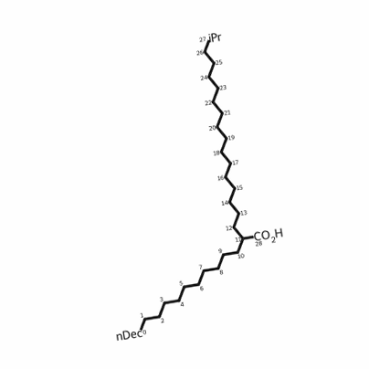 CCCCCCCCCCCCCCCCCCCCC(CCCCCCCCCCCCCCCC(C)C)C(=O)O